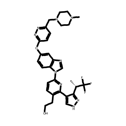 C[C@@H](c1n[nH]cc1-c1nc(-n2cnc3cc(Oc4ccc(CN5CCN(C)CC5)nn4)ccc32)ccc1CCO)C(F)(F)F